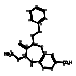 O=C(O)C[C@@H]1Nc2ccc(C(=O)O)cc2CN(CCc2cccnc2)C1=O